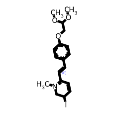 COC(COc1ccc(/C=C/C2=[N+](C)CC(I)C=C2)cc1)OC